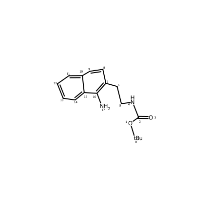 CC(C)(C)OC(=O)NCCc1ccc2ccccc2c1N